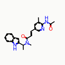 CC(=O)Nc1ncc(C=CC(=O)N(C)C(C)c2cc3ccccc3[nH]2)cc1C